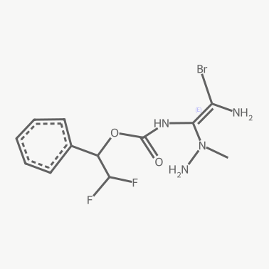 CN(N)/C(NC(=O)OC(c1ccccc1)C(F)F)=C(\N)Br